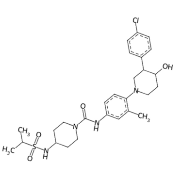 Cc1cc(NC(=O)N2CCC(NS(=O)(=O)C(C)C)CC2)ccc1N1CCC(O)C(c2ccc(Cl)cc2)C1